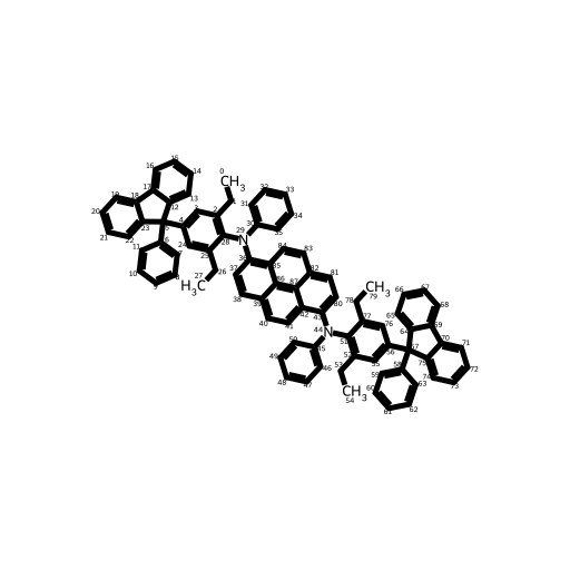 CCc1cc(C2(c3ccccc3)c3ccccc3-c3ccccc32)cc(CC)c1N(c1ccccc1)c1ccc2ccc3c(N(c4ccccc4)c4c(CC)cc(C5(c6ccccc6)c6ccccc6-c6ccccc65)cc4CC)ccc4ccc1c2c43